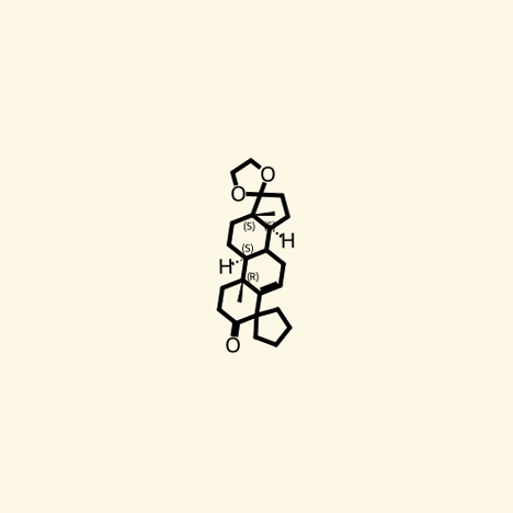 C[C@]12CCC(=O)C3(CCCC3)C1=CCC1[C@@H]2CC[C@@]2(C)[C@H]1CCC21OCCO1